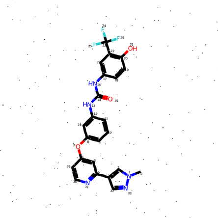 Cn1cc(-c2cc(Oc3cccc(NC(=O)Nc4ccc(O)c(C(F)(F)F)c4)c3)ccn2)cn1